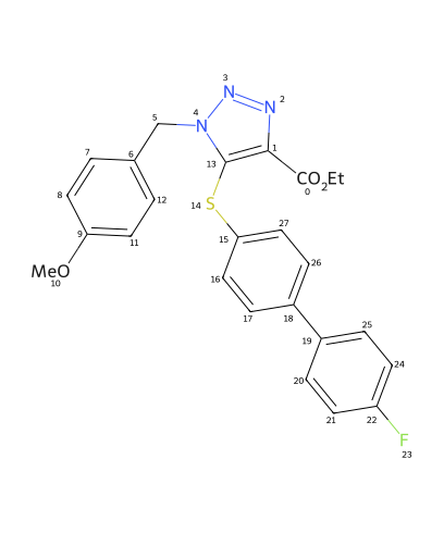 CCOC(=O)c1nnn(Cc2ccc(OC)cc2)c1Sc1ccc(-c2ccc(F)cc2)cc1